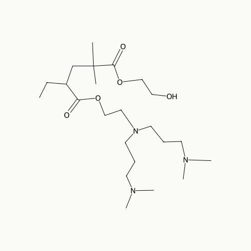 CCC(CC(C)(C)C(=O)OCCO)C(=O)OCCN(CCCN(C)C)CCCN(C)C